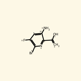 C=C(O)c1nc(Br)c(F)cc1N